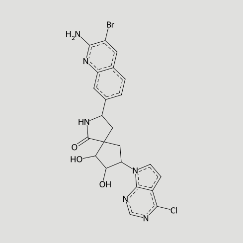 Nc1nc2cc(C3CC4(CC(n5ccc6c(Cl)ncnc65)C(O)C4O)C(=O)N3)ccc2cc1Br